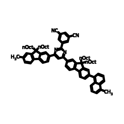 CCCCCCCCC1(CCCCCCCC)c2cc(C)ccc2-c2ccc(-c3cc(-c4ccc5c(c4)C(CCCCCCCC)(CCCCCCCC)c4cc(-c6cccc7c(C)cccc67)ccc4-5)nc(-c4cc(C#N)cc(C#N)c4)n3)cc21